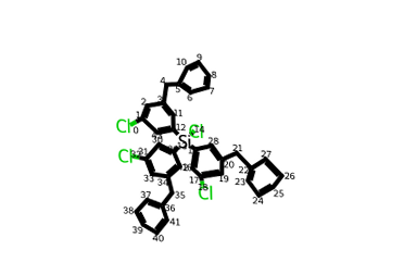 Clc1cc(Cc2ccccc2)cc([Si](Cl)(c2cc(Cl)cc(Cc3ccccc3)c2)c2cc(Cl)cc(Cc3ccccc3)c2)c1